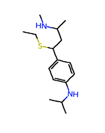 CCSC(CC(C)NC)c1ccc(NC(C)C)cc1